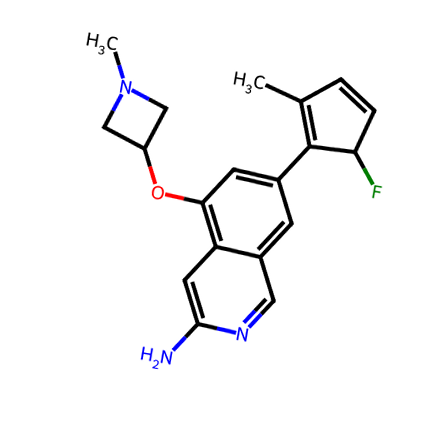 CC1=C(c2cc(OC3CN(C)C3)c3cc(N)ncc3c2)C(F)C=C1